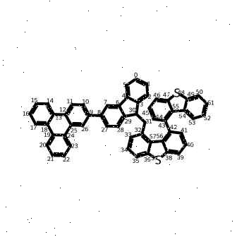 c1ccc2c(c1)-c1cc(-c3ccc4c5ccccc5c5ccccc5c4c3)ccc1C2Cc1cccc2sc3cccc(-c4cccc5sc6ccccc6c45)c3c12